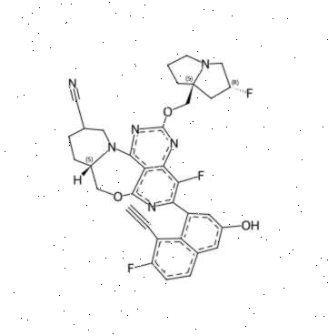 C#Cc1c(F)ccc2cc(O)cc(-c3nc4c5c(nc(OC[C@@]67CCCN6C[C@H](F)C7)nc5c3F)N3CC(C#N)CC[C@H]3CO4)c12